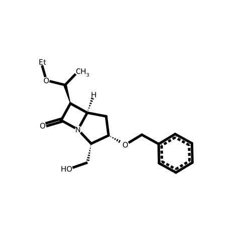 CCOC(C)[C@@H]1C(=O)N2[C@@H]1C[C@H](OCc1ccccc1)[C@@H]2CO